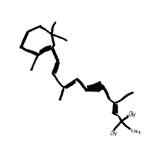 CC(C=CC1=C(C)CCCC1(C)C)=CC=CC(C)=CC(O)(O)O